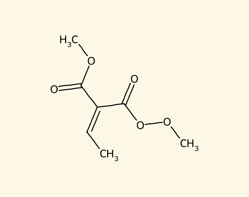 CC=C(C(=O)OC)C(=O)OOC